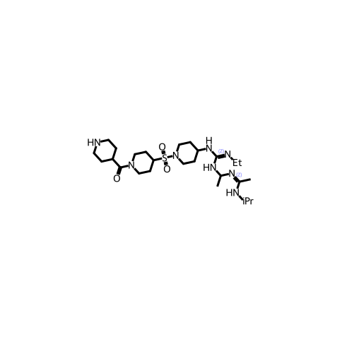 CC/N=C(/NC1CCN(S(=O)(=O)C2CCN(C(=O)C3CCNCC3)CC2)CC1)NC(C)/N=C(/C)NC(C)C